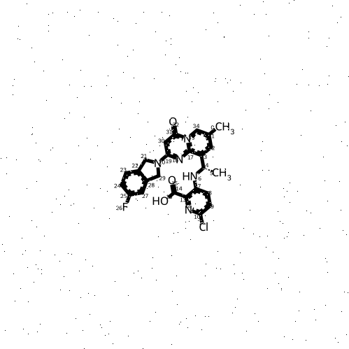 Cc1cc([C@H](C)Nc2ccc(Cl)nc2C(=O)O)c2nc(N3Cc4ccc(F)cc4C3)cc(=O)n2c1